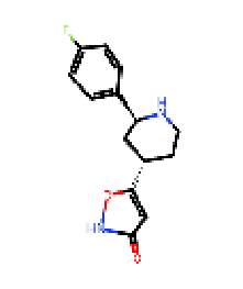 O=c1cc([C@H]2CCN[C@H](c3ccc(F)cc3)C2)o[nH]1